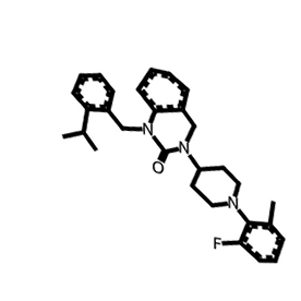 Cc1cccc(F)c1N1CCC(N2Cc3ccccc3N(Cc3ccccc3C(C)C)C2=O)CC1